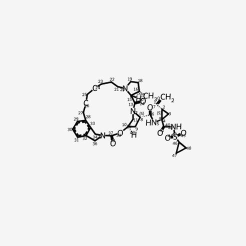 C=C[C@@H]1C[C@]1(NC(=O)[C@@H]1C[C@@H]2CN1C(=O)[C@H]1[C@@H](C)CCN1CCCCCCCc1cccc3c1CN(C3)C(=O)O2)C(=O)NS(=O)(=O)C1CC1